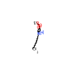 CCOCCOC(=O)c1ccc(NCCCCCCCCCCCCCCCC(F)(F)F)cc1